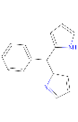 C1=CC(C(c2ccccc2)c2ccc[nH]2)N=C1